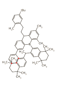 Cc1cc(C)c2c(c1)C(CCc1cc(C(C)(C)C)ccc1C)c1ccc(-c3ccccc3)cc1B2c1cc2c(cc1C(C)c1ccc3c(c1)C(C)(C)CCC3(C)C)C(C)(C)CCC2(C)C